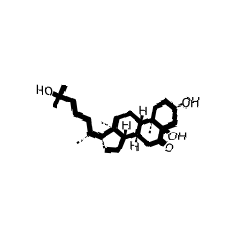 C[C@H](CCCC(C)(C)O)[C@H]1CC[C@H]2[C@@H]3CC(=O)C4(O)C[C@@H](O)CC[C@]4(C)[C@H]3CC[C@]12C